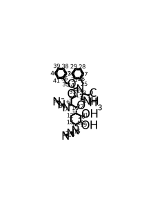 CC1N[C@]2(CCC(N=[N+]=[N-])[C@@H](C3CCC(N=[N+]=[N-])[C@H](O)[C@H]3O)O2)[C@@H]1N(Cc1ccccc1)C(=O)OCc1ccccc1